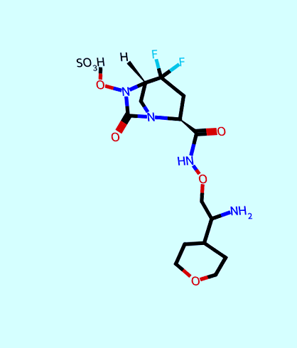 NC(CONC(=O)[C@@H]1CC(F)(F)[C@@H]2CN1C(=O)N2OS(=O)(=O)O)C1CCOCC1